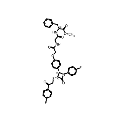 COC(=O)[C@H](Cc1ccccc1)NC(=O)CNC(=O)COc1ccc([C@@H]2[C@@H](SCC(=O)c3ccc(F)cc3)C(=O)N2c2ccc(F)cc2)cc1